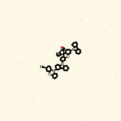 N#Cc1ccc2c(c1)Oc1ccccc1N2c1ccc2c(c1)c1ccccc1n2-c1ccc2c(c1)Oc1cc(-n3c4ccccc4c4ccccc43)ccc1C21c2cccnc2-c2ncccc21